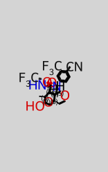 C[C@]12O[C@@]3(CCO[C@H]4[C@@H]3[C@]1(C(=O)NCC(F)(F)F)C(=O)N4c1ccc(C#N)c(C(F)(F)F)c1)C[C@H]2O